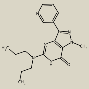 CCCN(CCC)c1nc2c(-c3cccnc3)nn(C)c2c(=O)[nH]1